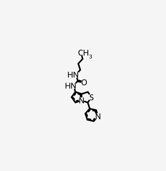 CCCCNC(=O)Nc1ccn2c1CSC2c1cccnc1